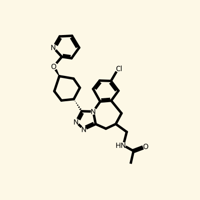 CC(=O)NCC1Cc2cc(Cl)ccc2-n2c(nnc2[C@H]2CC[C@H](Oc3ccccn3)CC2)C1